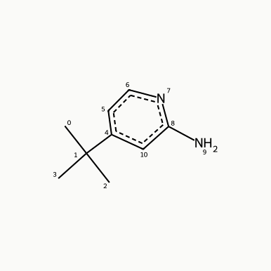 CC(C)(C)c1ccnc(N)c1